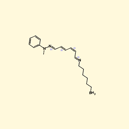 BCCCCCC/N=C/C=C\C=C\C=N\N(C)c1ccccc1